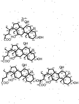 C[C@H](CCC(=O)[O-])[C@H]1CCC2C3C(C[C@H](O)[C@@]21C)[C@@]1(C)CC[C@@H](O)C[C@H]1C[C@H]3O.C[C@H](CCC(=O)[O-])[C@H]1CCC2C3C(C[C@H](O)[C@@]21C)[C@@]1(C)CC[C@@H](O)C[C@H]1C[C@H]3O.C[C@H](CCC(=O)[O-])[C@H]1CCC2C3C(C[C@H](O)[C@@]21C)[C@@]1(C)CC[C@@H](O)C[C@H]1C[C@H]3O.C[C@H](CCC(=O)[O-])[C@H]1CCC2C3C(C[C@H](O)[C@@]21C)[C@@]1(C)CC[C@@H](O)C[C@H]1C[C@H]3O.[Zr+4]